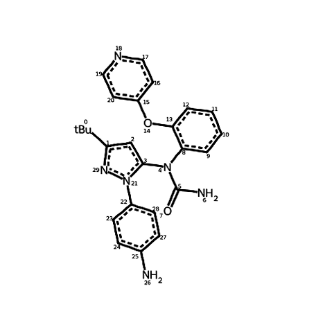 CC(C)(C)c1cc(N(C(N)=O)c2ccccc2Oc2ccncc2)n(-c2ccc(N)cc2)n1